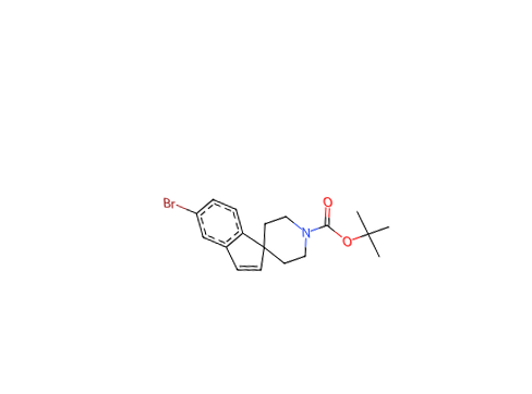 CC(C)(C)OC(=O)N1CCC2(C=Cc3cc(Br)ccc32)CC1